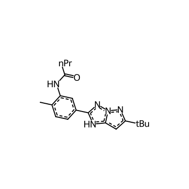 CCCC(=O)Nc1cc(-c2nn3nc(C(C)(C)C)cc3[nH]2)ccc1C